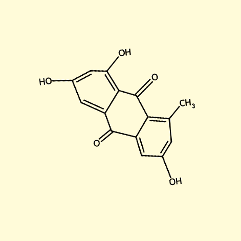 Cc1cc(O)cc2c1C(=O)c1c(O)cc(O)cc1C2=O